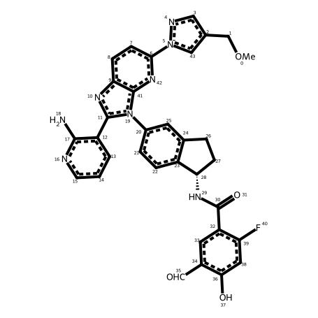 COCc1cnn(-c2ccc3nc(-c4cccnc4N)n(-c4ccc5c(c4)CC[C@@H]5NC(=O)c4cc(C=O)c(O)cc4F)c3n2)c1